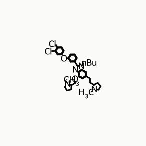 CCCCn1c(-c2cccc(Oc3ccc(Cl)c(Cl)c3)c2)nc2c(OCC3CCCN3C)cc(CCC3CCCN3C)cc21